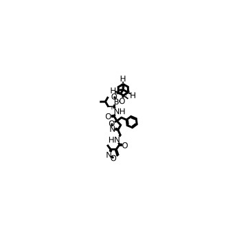 Cc1nocc1C(=O)NCC1=NOC(Cc2ccccc2)(C(=O)N[C@@H](CC(C)C)B2O[C@@H]3C[C@@H]4C[C@@H](C4(C)C)[C@]3(C)O2)C1